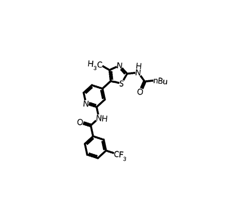 CCCCC(=O)Nc1nc(C)c(-c2ccnc(NC(=O)c3cccc(C(F)(F)F)c3)c2)s1